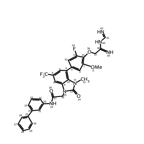 COc1cc(-c2cc(C(F)(F)F)cc3c2n(C)c(=O)n3CC(=O)Nc2cccc(-c3ccccc3)c2)cc(F)c1OCC(=N)NC=N